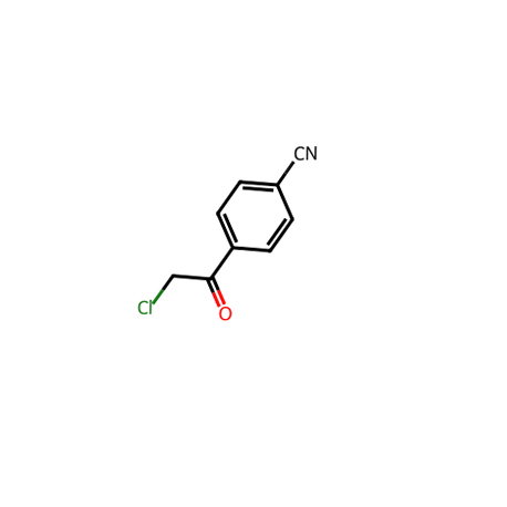 N#Cc1ccc(C(=O)CCl)cc1